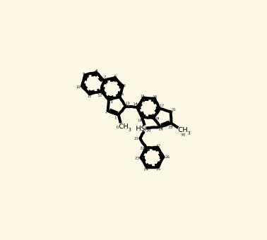 CC1=Cc2c(ccc3ccccc23)C1c1ccc2c3c1[SiH](Cc1ccccc1)C3=C(C)[CH]2